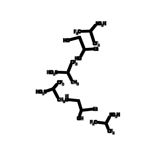 CC(C(F)(F)F)S(=O)(=O)O.CC(C(F)(F)F)S(=O)(=O)O.CCC(O)CO.CCC(O)CO.O=S(=O)(O)C(C(F)(F)F)C(F)(F)F.O=S(=O)(O)C(C(F)(F)F)C(F)(F)F